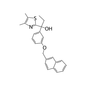 CCC(O)(c1cccc(OCc2ccc3ccccc3c2)c1)c1nc(C)c(C)s1